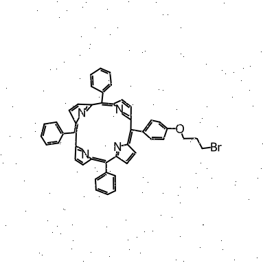 BrCCCOc1ccc(C2=C3C=CC(=N3)C(c3ccccc3)=C3C=CC(=N3)C(c3ccccc3)=C3C=CC(=N3)C(c3ccccc3)=C3C=CC2=N3)cc1